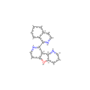 c1ccc2c(-c3nccc4oc5cccnc5c34)nccc2c1